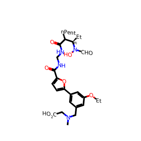 CCCCCC(C(=O)NCNC(=O)c1ccc(-c2cc(CN(C)CC(=O)O)cc(OCC)c2)o1)[C@@H](CC)N(O)C=O